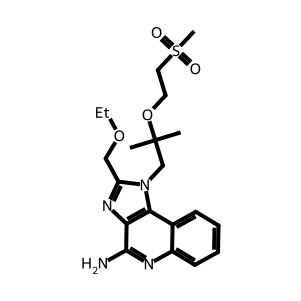 CCOCc1nc2c(N)nc3ccccc3c2n1CC(C)(C)OCCS(C)(=O)=O